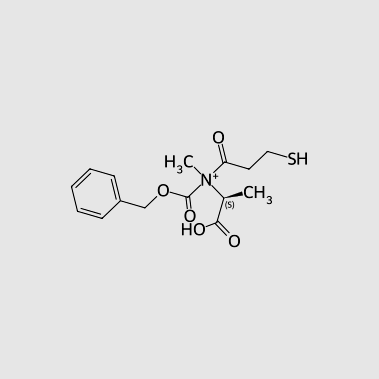 C[C@@H](C(=O)O)[N+](C)(C(=O)CCS)C(=O)OCc1ccccc1